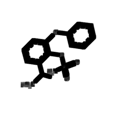 CC(C(=O)O)c1cccc(Oc2ccccc2)c1OS(N)(=O)=O